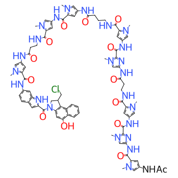 CC(=O)Nc1cc(C(=O)Nc2cn(C)c(C(=O)Nc3cc(C(=O)NCCC(=O)Nc4cn(C)c(C(=O)Nc5cc(C(=O)NCCCC(=O)Nc6cc(C(=O)Nc7cc(C(=O)NCCC(=O)Nc8cc(C(=O)Nc9ccc%10cc(C(=O)N%11CC(CCl)c%12c%11cc(O)c%11ccccc%12%11)[nH]c%10c9)n(C)c8)n(C)c7)n(C)c6)n(C)c5)n4)n(C)c3)n2)n(C)c1